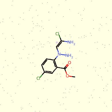 COC(=O)c1cc(Cl)ccc1N(N)/C=C(\N)Cl